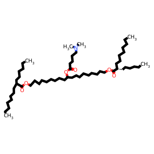 CCCCCCCCC(CCCCCC)C(=O)OCCCCCCCCCC(CCCCCCCCCOC(=O)[C@@H](CCCCCC)CCCCCCCC)OC(=O)CCCCN(C)C